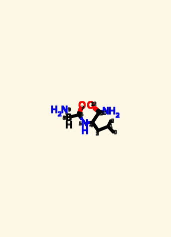 CC(C)CC(NC(=O)BN)C(N)=O